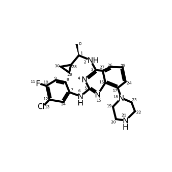 C[C@@H](Nc1nc(Nc2ccc(F)c(Cl)c2)nc2c(N3CCNCC3)cccc12)C1CC1